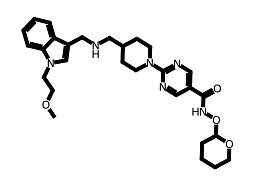 COCCn1cc(CNCC2CCN(c3ncc(C(=O)NOC4CCCCO4)cn3)CC2)c2ccccc21